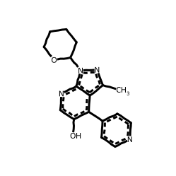 Cc1nn(C2CCCCO2)c2ncc(O)c(-c3ccncc3)c12